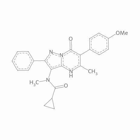 COc1ccc(-c2c(C)[nH]c3c(N(C)C(=O)C4CC4)c(-c4ccccc4)nn3c2=O)cc1